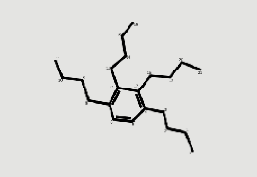 CCCCc1[c]cc(CCCC)c(CCCC)c1CCCC